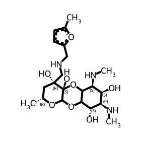 CN[C@@H]1[C@H](O)[C@H](NC)C2O[C@]3(O)C(OC2[C@H]1O)O[C@H](C)C[C@@]3(O)CNCc1ccc(C)o1